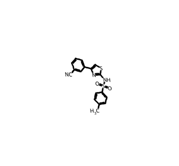 Cc1ccc(S(=O)(=O)Nc2nc(-c3cccc(C#N)c3)cs2)cc1